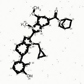 COc1cc(C(=O)N2CC3CCC2C3)cc2nc(-c3cc4ccc(-c5cccc(O)c5F)cc4n3CC3CC3)n(C)c12